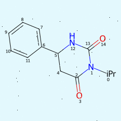 CC(C)N1C(=O)CC(c2ccccc2)NC1=O